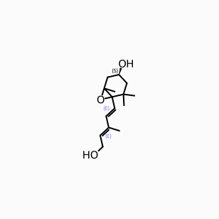 CC(/C=C/C12OC1(C)C[C@@H](O)CC2(C)C)=C\CO